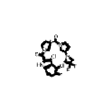 O=C(c1[nH]c2ccc(F)c(Cl)c2c1Cl)N1CC[C@@H](C(=O)N2CCC(N3CC(F)(F)C3)C2)C1